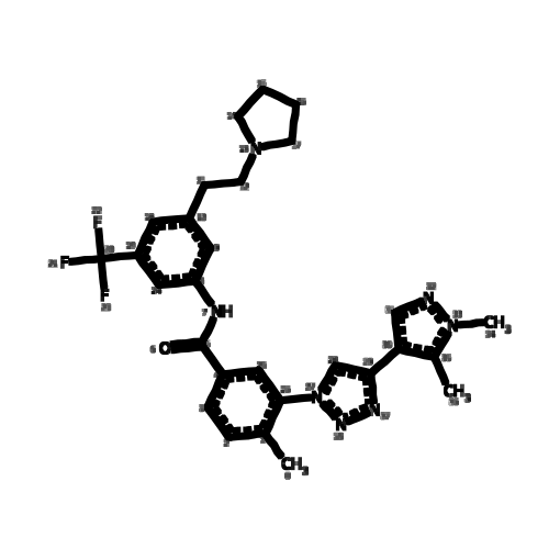 Cc1ccc(C(=O)Nc2cc(CCN3CCCC3)cc(C(F)(F)F)c2)cc1-n1cc(-c2cnn(C)c2C)nn1